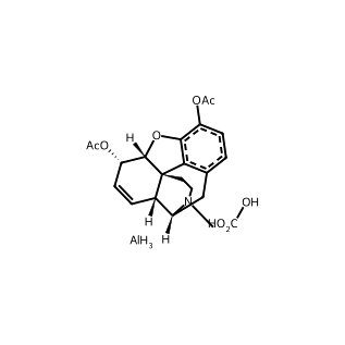 CC(=O)Oc1ccc2c3c1O[C@H]1[C@@H](OC(C)=O)C=C[C@H]4[C@@H](C2)N(C)CC[C@@]341.O=C(O)O.[AlH3]